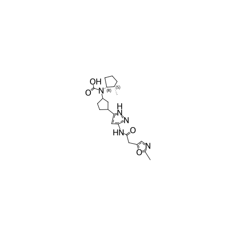 Cc1ncc(CC(=O)Nc2cc(C3CCC(N(C(=O)O)[C@@H]4CCC[C@@H]4C)C3)[nH]n2)o1